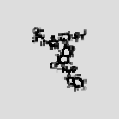 CCOC[C@@H]1CC[C@@H](c2ncc(CCC(=O)O)s2)N1C(=O)Cc1cc(Cl)c(NC(=O)c2csc3ccccc23)cc1F